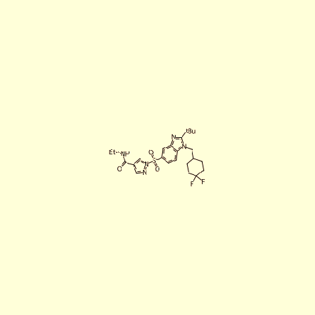 CCNC(=O)c1cnn(S(=O)(=O)c2ccc3c(c2)nc(C(C)(C)C)n3CC2CCC(F)(F)CC2)c1